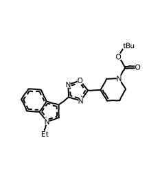 CCn1cc(-c2noc(C3=CCCN(C(=O)OC(C)(C)C)C3)n2)c2ccccc21